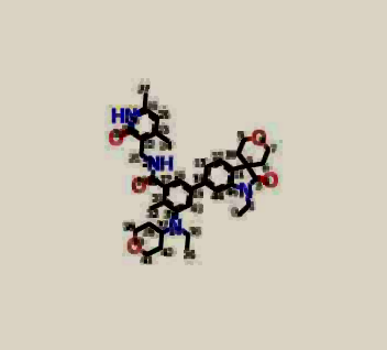 CCN1C(=O)C2(CCOCC2)c2ccc(-c3cc(C(=O)NCc4c(C)cc(C)[nH]c4=O)c(C)c(N(CC)C4CCOCC4)c3)cc21